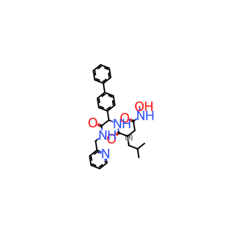 CC(C)C[C@H](CC(=O)NO)C(=O)NC(C(=O)NCc1ccccn1)c1ccc(-c2ccccc2)cc1